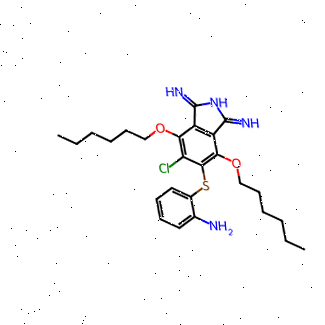 CCCCCCOc1c(Cl)c(Sc2ccccc2N)c(OCCCCCC)c2c1C(=N)NC2=N